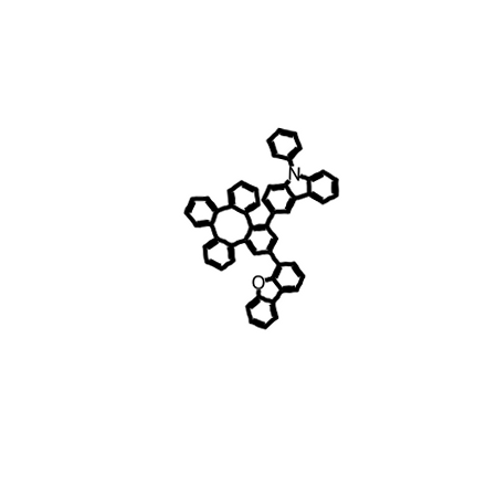 c1ccc(-n2c3ccccc3c3cc(-c4cc(-c5cccc6c5oc5ccccc56)cc5c4-c4ccccc4-c4ccccc4-c4ccccc4-5)ccc32)cc1